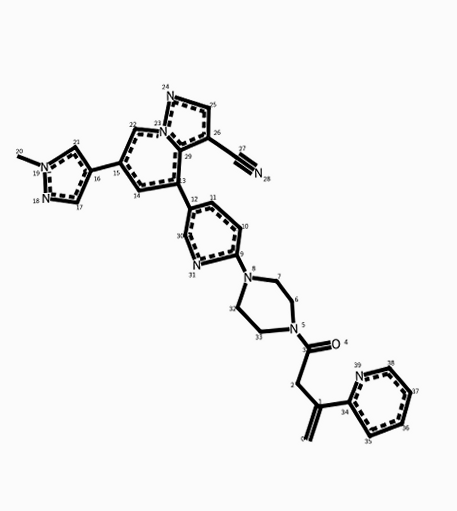 C=C(CC(=O)N1CCN(c2ccc(-c3cc(-c4cnn(C)c4)cn4ncc(C#N)c34)cn2)CC1)c1ccccn1